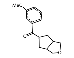 COc1cccc(C(=O)N2CC3COCC3C2)c1